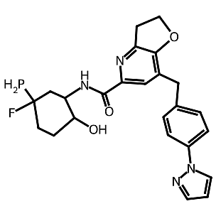 O=C(NC1CC(F)(P)CCC1O)c1cc(Cc2ccc(-n3cccn3)cc2)c2c(n1)CCO2